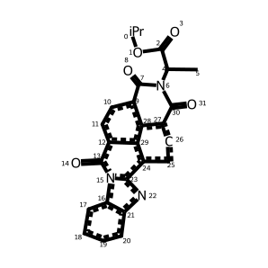 CC(C)OC(=O)C(C)N1C(=O)c2ccc3c(=O)n4c5ccccc5nc4c4ccc(c2c34)C1=O